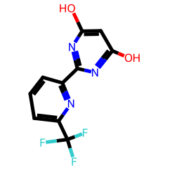 Oc1cc(O)nc(-c2cccc(C(F)(F)F)n2)n1